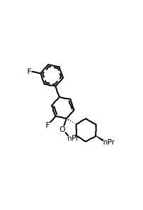 CCCOC1([C@H]2CC[C@H](CCC)CC2)C=CC(c2cccc(F)c2)C=C1F